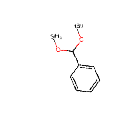 CC(C)(C)OC(O[SiH3])c1ccccc1